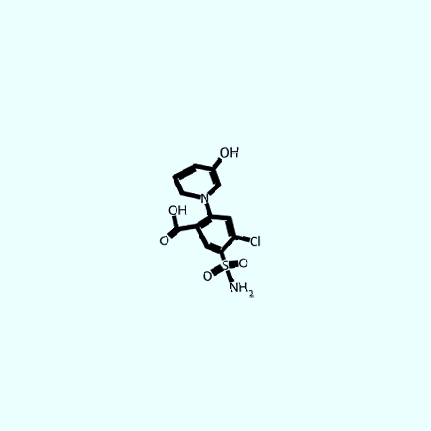 NS(=O)(=O)c1cc(C(=O)O)c(N2C=C(O)C=CC2)cc1Cl